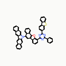 c1ccc(-c2nc(-c3ccc4c(c3)sc3ccccc34)nc(-c3cccc4c3oc3c5ccccc5c(-n5c6cc7ccccc7cc6c6cc7ccccc7cc65)cc43)n2)cc1